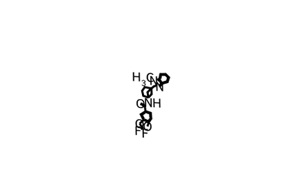 Cn1c(C23CCCC(NC(=O)c4ccc5c(c4)OC(F)(F)O5)(C2)C3)nc2ccccc21